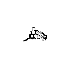 CC#Cc1cc(C)c(C2C(=O)CN(Cc3ccn(C)n3)C2=O)c(C)c1